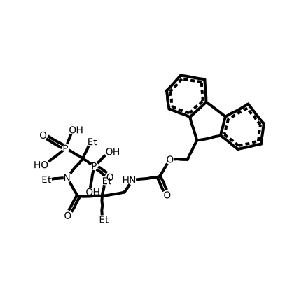 CCN(C(=O)C(CC)(CC)CNC(=O)OCC1c2ccccc2-c2ccccc21)C(CC)(P(=O)(O)O)P(=O)(O)O